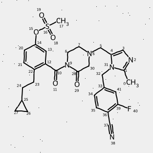 Cc1ncc(CN2CCN(C(=O)c3cc(OS(C)(=O)=O)ccc3CCC3CC3)C(=O)C2)n1Cc1ccc(C#N)c(F)c1